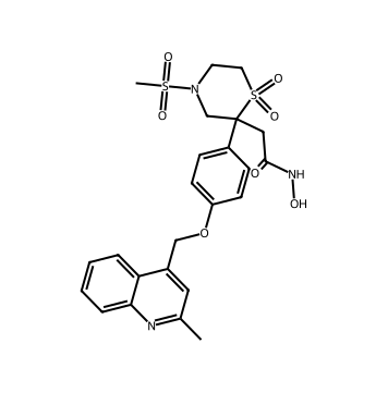 Cc1cc(COc2ccc(C3(CC(=O)NO)CN(S(C)(=O)=O)CCS3(=O)=O)cc2)c2ccccc2n1